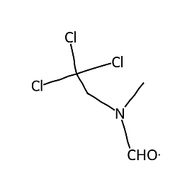 CN([C]=O)CC(Cl)(Cl)Cl